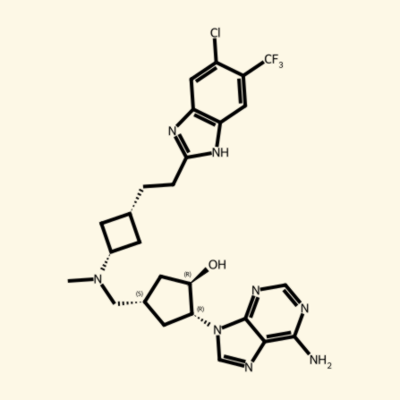 CN(C[C@@H]1C[C@@H](O)[C@H](n2cnc3c(N)ncnc32)C1)[C@H]1C[C@@H](CCc2nc3cc(Cl)c(C(F)(F)F)cc3[nH]2)C1